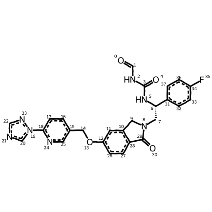 O=CNC(=O)N[C@@H](CN1Cc2cc(OCc3ccc(-n4cncn4)nc3)ccc2C1=O)c1ccc(F)cc1